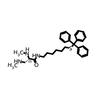 CNC[C@H](NC)C(=O)NCCCCCCSC(c1ccccc1)(c1ccccc1)c1ccccc1